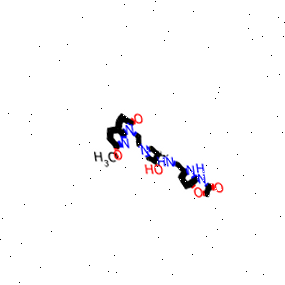 COc1ccc2ccc(=O)n(CCN3C[C@H](CNCc4ccc5c(n4)NC(=O)CO5)[C@H](O)C3)c2n1